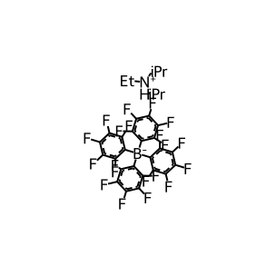 CC[NH+](C(C)C)C(C)C.Fc1c(F)c(F)c([B-](c2c(F)c(F)c(F)c(F)c2F)(c2c(F)c(F)c(F)c(F)c2F)c2c(F)c(F)c(F)c(F)c2F)c(F)c1F